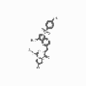 Cc1ccc(S(=O)(=O)n2cc(C)c3nc(CNC(=O)[C@H]4C[C@@H](O)CN4C(=O)OC(C)(C)C)cnc32)cc1